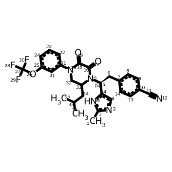 Cc1ncc([C@H](Cc2ccc(C#N)cc2)N2C(=O)C(=O)N(c3cccc(OC(F)(F)F)c3)CC2CC(C)C)[nH]1